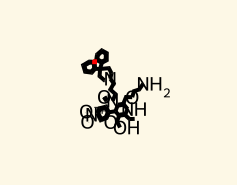 CCC1=C(C(=O)O)C(c2ccc([N+](=O)[O-])cc2)C(N(C=O)CCCN2CCC(c3ccccc3)(c3ccccc3)CC2)=C(COCCN)N1